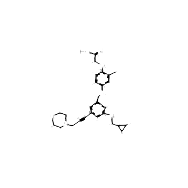 Cc1cc(SCc2cc(C#CCN3CCOCC3)cc(OCC3CC3)c2)ccc1OCC(=O)O